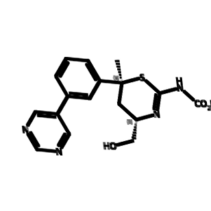 C[C@@]1(c2cccc(-c3cncnc3)c2)C[C@@H](CO)N=C(NC(=O)O)S1